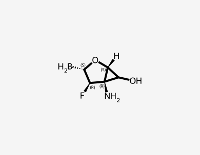 B[C@@H]1O[C@@H]2C(O)[C@]2(N)[C@H]1F